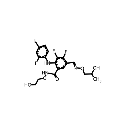 CC(O)CON=Cc1cc(C(=O)NOCCO)c(Nc2ccc(I)cc2F)c(F)c1F